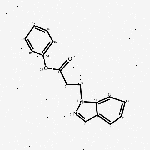 O=C(CCn1ncc2ccccc21)Oc1ccccc1